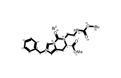 COC(=O)[C@@H]1Cc2c[n+](Cc3ccccc3)cn2C(=O)N1CCNC(=O)OC(C)(C)C.[Br-]